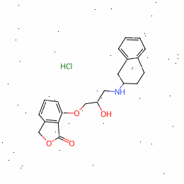 Cl.O=C1OCc2cccc(OCC(O)CNC3CCc4ccccc4C3)c21